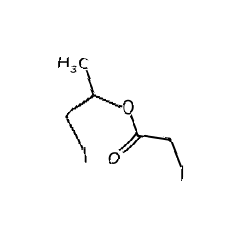 CC(CI)OC(=O)CI